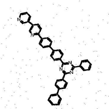 c1ccc(-c2ccc(-c3nc(-c4ccccc4)nc(-c4ccc(-c5ccc(-c6ccc(-c7cccnc7)cn6)cc5)cc4)n3)cc2)cc1